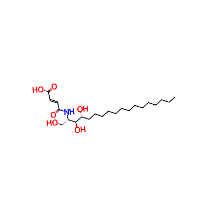 CCCCCCCCCCCCCC[C@@H](O)[C@@H](O)[C@H](CO)NC(=O)C=CC(=O)O